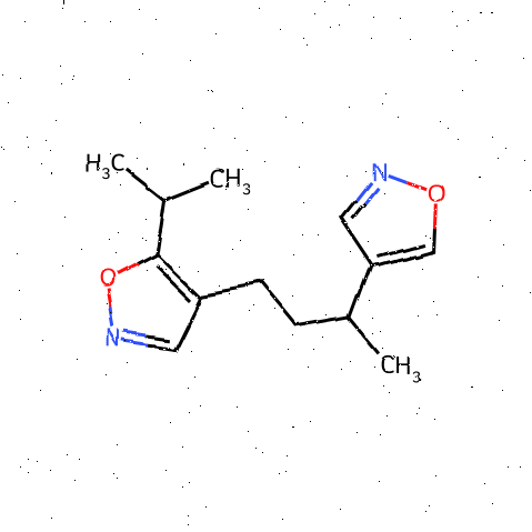 CC(C)c1oncc1CCC(C)c1cnoc1